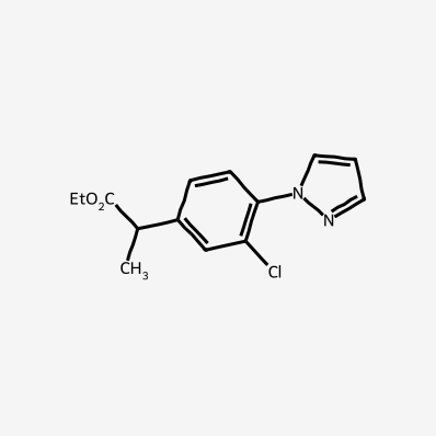 CCOC(=O)C(C)c1ccc(-n2cccn2)c(Cl)c1